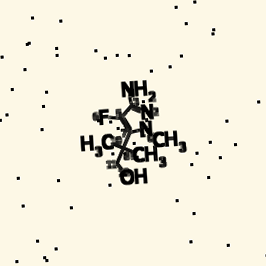 Cn1nc(N)c(F)c1C(C)(C)CO